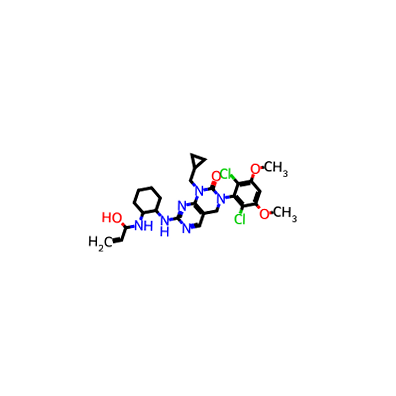 C=CC(O)NC1CCCCC1Nc1ncc2c(n1)N(CC1CC1)C(=O)N(c1c(Cl)c(OC)cc(OC)c1Cl)C2